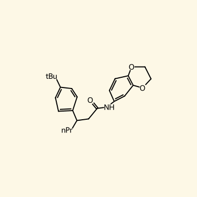 CCCC(CC(=O)Nc1ccc2c(c1)OCCO2)c1ccc(C(C)(C)C)cc1